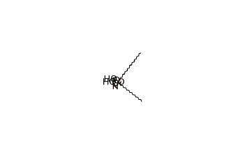 CCCCCC=CCC=CCC=CCC=CCCCCC(C[N+](C)(C)C)(OP(=O)(O)O)C(=O)CCCCCCCCCCCCCCC